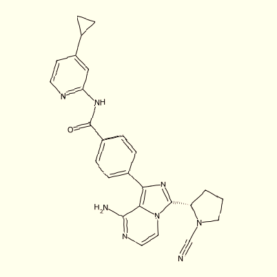 N#CN1CCC[C@H]1c1nc(-c2ccc(C(=O)Nc3cc(C4CC4)ccn3)cc2)c2c(N)nccn12